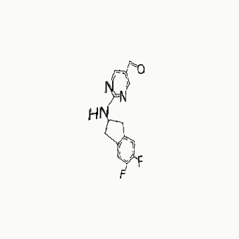 O=Cc1cnc(NC2Cc3cc(F)c(F)cc3C2)nc1